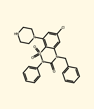 O=C1N(Cc2ccccc2)c2cc(Cl)cc(N3CCNCC3)c2S(=O)(=O)N1c1ccccc1